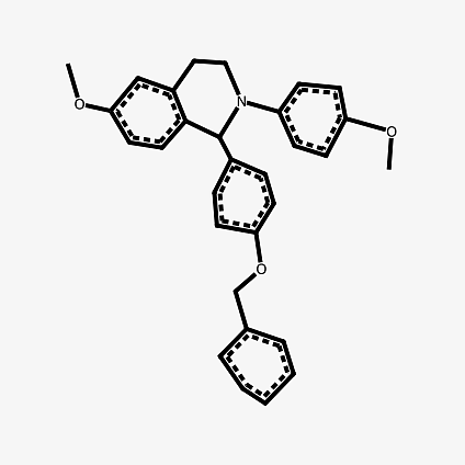 COc1ccc(N2CCc3cc(OC)ccc3C2c2ccc(OCc3ccccc3)cc2)cc1